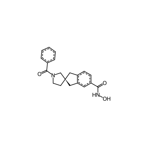 O=C(NO)c1ccc2c(c1)C[C@]1(CCN(C(=O)c3ccccc3)C1)C2